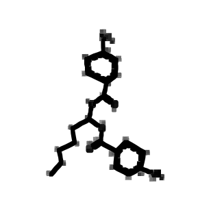 CCCCCC(OC(=O)c1ccc(N)cc1)OC(=O)c1ccc(N)cc1